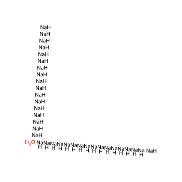 O.[NaH].[NaH].[NaH].[NaH].[NaH].[NaH].[NaH].[NaH].[NaH].[NaH].[NaH].[NaH].[NaH].[NaH].[NaH].[NaH].[NaH].[NaH].[NaH].[NaH].[NaH].[NaH].[NaH].[NaH].[NaH].[NaH].[NaH].[NaH].[NaH].[NaH].[NaH].[NaH].[NaH].[NaH]